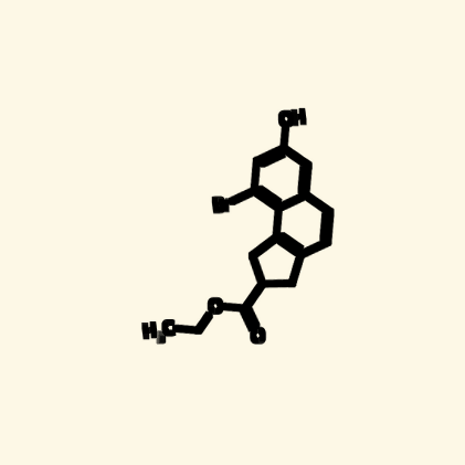 CCOC(=O)C1Cc2ccc3cc(O)cc(Br)c3c2C1